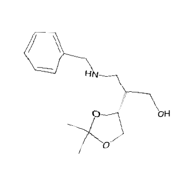 CC1(C)OC[C@@H](C(CO)CNCc2ccccc2)O1